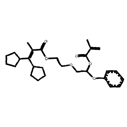 C=C(C)C(=O)OC(COCCOC(=O)C(C)=C(C1CCCC1)C1CCCC1)Oc1ccccc1